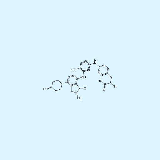 CCC(Cc1ccc(Nc2ncc(C(F)(F)F)c(Nc3ccc([C@H]4CC[C@H](O)CC4)c4c3C(=O)N(C)C4)n2)cc1)[PH](=O)O